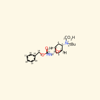 CC(C)(C)N(C(=O)O)[C@H]1C[C@H]2O[C@@H]1C[C@@H]2NC(=O)OCc1ccccc1